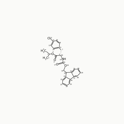 CC(C)OC(=O)[C@H](Cc1ccc(Cl)cc1)NC(=O)OCC1c2ccccc2-c2ccccc21